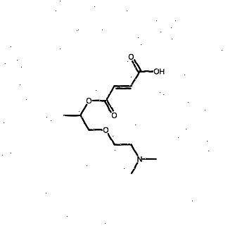 CC(COCCN(C)C)OC(=O)C=CC(=O)O